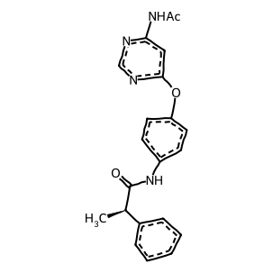 CC(=O)Nc1cc(Oc2ccc(NC(=O)[C@H](C)c3ccccc3)cc2)ncn1